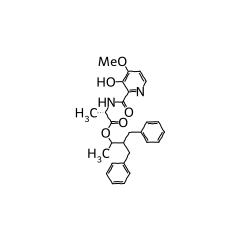 COc1ccnc(C(=O)N[C@@H](C)C(=O)OC(C)C(Cc2ccccc2)Cc2ccccc2)c1O